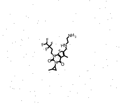 Cc1c(CNCCN)sc2c1c(=O)n(C1CC1C)c(=O)n2CCC(F)(F)C(F)F